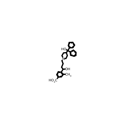 Cc1cc(C(=O)O)ccc1C(O)CCCN1CCC(C(O)(c2ccccc2)c2ccccc2)CC1